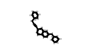 C(#Cc1ccc2ccc(Cc3ccccc3)cc2c1)Cc1ccccc1